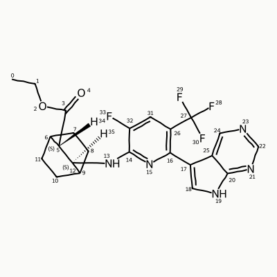 CCOC(=O)[C@H]1C2CCC(CC2)[C@@H]1Nc1nc(-c2c[nH]c3ncncc23)c(C(F)(F)F)cc1F